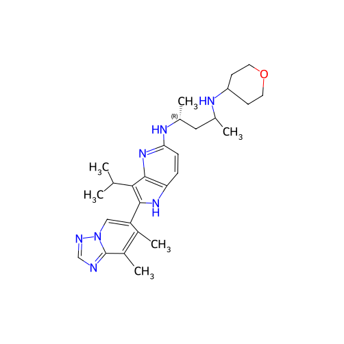 Cc1c(-c2[nH]c3ccc(N[C@H](C)CC(C)NC4CCOCC4)nc3c2C(C)C)cn2ncnc2c1C